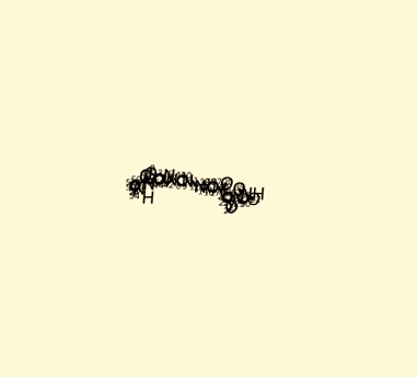 COc1cc2nn(C3CCN(CCN4CC5(CCN(C(=O)c6ccc(OC)c(N7CCC(=O)NC7=O)c6)CC5)C4)CC3)cc2cc1NC(=O)c1cccc(C)n1